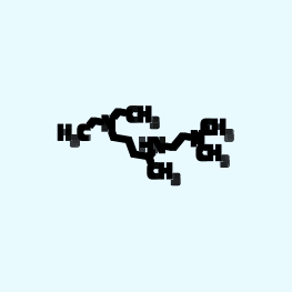 CCN(CC)CCCC(C)NCCN(C)C